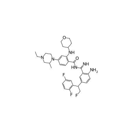 CCN1CCN(c2ccc(C(=O)NC(=N)c3cc(C(CF)c4cc(F)ccc4F)ccc3N)c(NC3CCOCC3)c2)C(C)C1